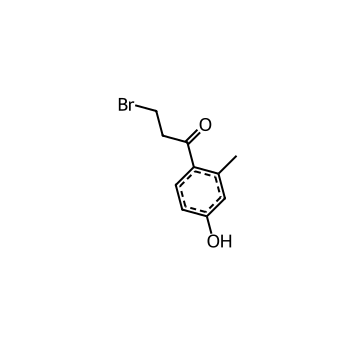 Cc1cc(O)ccc1C(=O)CCBr